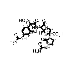 NC(=O)Nc1ccc(C(C(=O)N[C@@H]2C(=O)N3C[C@@](C(=O)O)(N4CCN(NC(N)=O)C4=O)S[C@H]23)S(=O)(=O)O)c(Cl)c1